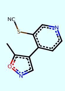 Cc1oncc1-c1ccncc1SC#N